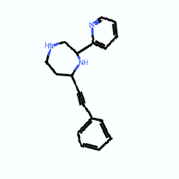 C(#CC1CCNCC(c2ccccn2)N1)c1ccccc1